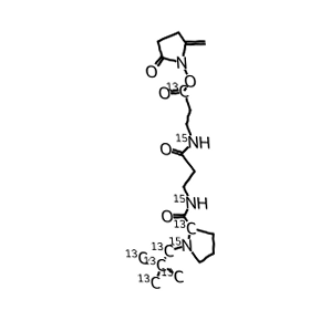 C=C1CCC(=O)N1O[13C](=O)CC[15NH]C(=O)CC[15NH]C(=O)[13CH]1CCC[15N]1[13CH2][13C]([13CH3])([13CH3])[13CH3]